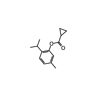 Cc1ccc(C(C)C)c(OC(=O)C2CC2)c1